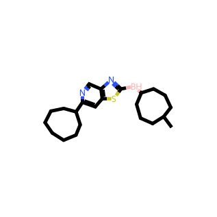 CC1CCCC(Bc2nc3cnc(C4CCCCCCC4)cc3s2)CCC1